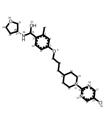 Cc1cc(OCCCC2CCN(c3ncc(Cl)cn3)CC2)ccc1C(O)N[C@@H]1CCOC1